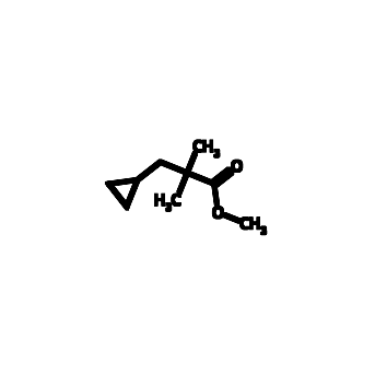 COC(=O)C(C)(C)CC1CC1